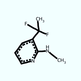 CNc1ncccc1C(C)(F)F